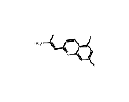 CC(=Cc1ccc2c(I)cc(I)cc2n1)C(=O)O